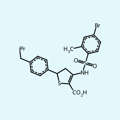 Cc1cc(Br)ccc1S(=O)(=O)NC1=C(C(=O)O)SC(c2ccc(CC(C)C)cc2)C1